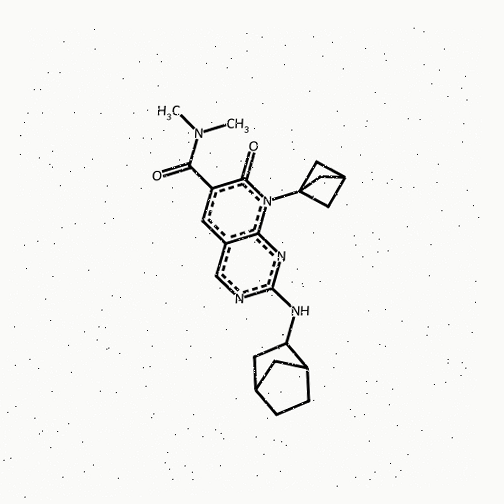 CN(C)C(=O)c1cc2cnc(NC3CC4CCC3C4)nc2n(C23CC(C2)C3)c1=O